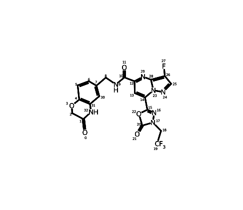 O=C1COc2ccc(CNC(=O)c3cc(-c4nn(CC(F)(F)F)c(=O)o4)n4ncc(F)c4n3)cc2N1